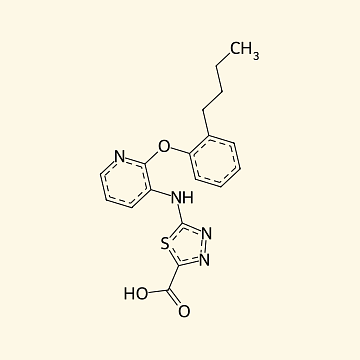 CCCCc1ccccc1Oc1ncccc1Nc1nnc(C(=O)O)s1